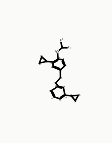 FC(F)Oc1ccc(CCc2cccc(C3CC3)c2)cc1C1CC1